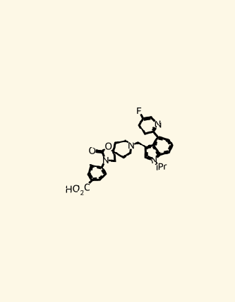 CC(C)n1cc(CN2CCC3(CC2)CN(c2ccc(C(=O)O)cc2)C(=O)O3)c2c(C3=NC=C(F)CC3)cccc21